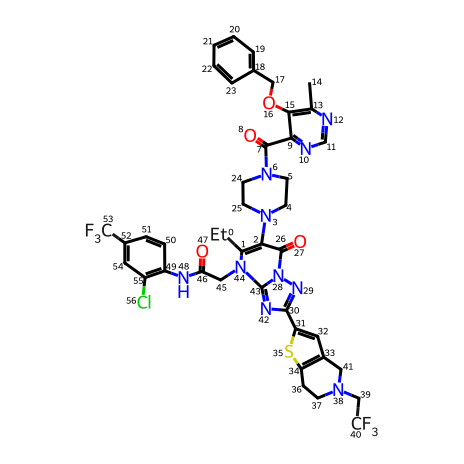 CCc1c(N2CCN(C(=O)c3ncnc(C)c3OCc3ccccc3)CC2)c(=O)n2nc(-c3cc4c(s3)CCN(CC(F)(F)F)C4)nc2n1CC(=O)Nc1ccc(C(F)(F)F)cc1Cl